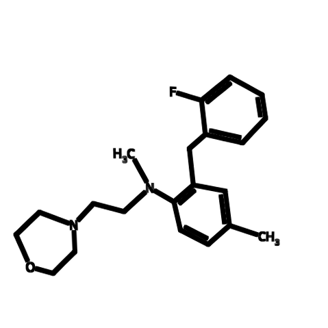 Cc1ccc(N(C)CCN2CCOCC2)c(Cc2ccccc2F)c1